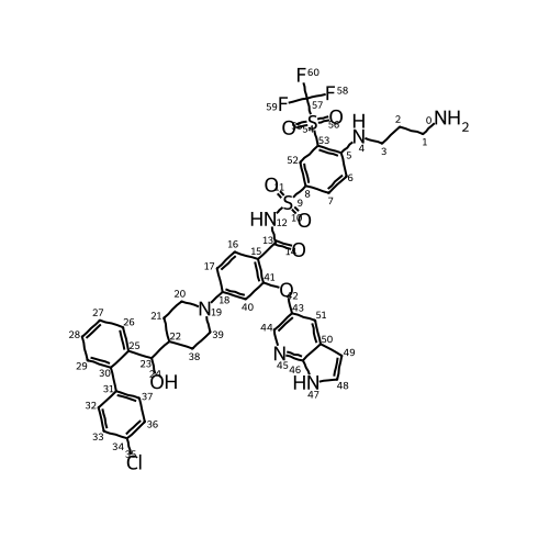 NCCCNc1ccc(S(=O)(=O)NC(=O)c2ccc(N3CCC(C(O)c4ccccc4-c4ccc(Cl)cc4)CC3)cc2Oc2cnc3[nH]ccc3c2)cc1S(=O)(=O)C(F)(F)F